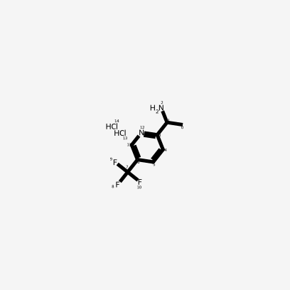 CC(N)c1ccc(C(F)(F)F)cn1.Cl.Cl